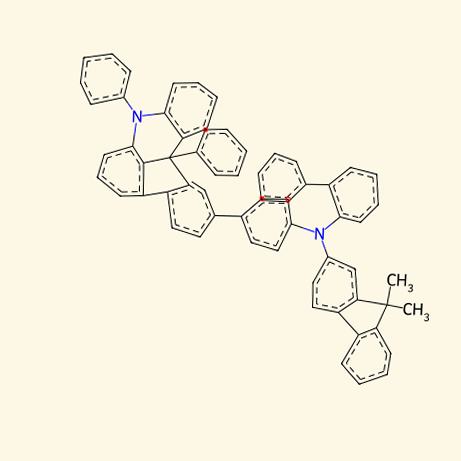 CC1(C)c2ccccc2-c2ccc(N(c3ccc(-c4ccc5c(c4)C4(c6ccccc6)c6ccccc6N(c6ccccc6)c6cccc-5c64)cc3)c3ccccc3-c3ccccc3)cc21